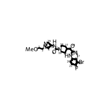 COCCn1cc(NC(=O)N2CCC(C(=O)/C(=N/I)Nc3ccc(F)c(Br)c3)CC2)cn1